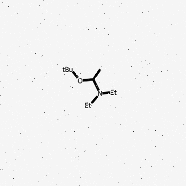 CCN(CC)C(C)OC(C)(C)C